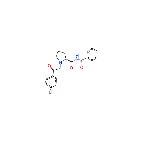 O=C(CN1CCC[C@H]1C(=O)NC(=O)c1ccccc1)c1ccc(Cl)cc1